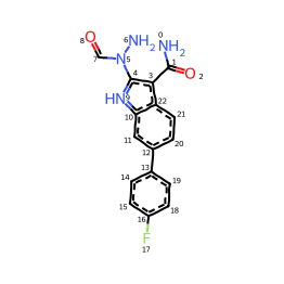 NC(=O)c1c(N(N)C=O)[nH]c2cc(-c3ccc(F)cc3)ccc12